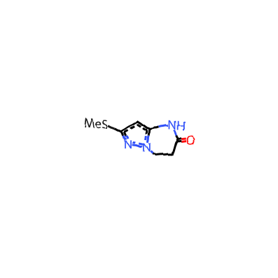 CSc1cc2n(n1)CCC(=O)N2